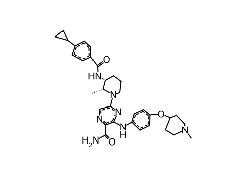 C[C@@H]1[C@H](NC(=O)c2ccc(C3CC3)cc2)CCCN1c1cnc(C(N)=O)c(Nc2ccc(OC3CCN(C)CC3)cc2)n1